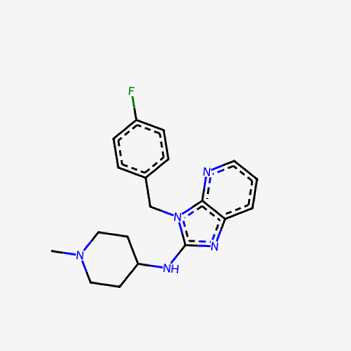 CN1CCC(Nc2nc3cccnc3n2Cc2ccc(F)cc2)CC1